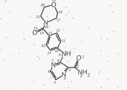 NC(=O)c1nccnc1Nc1ccc(C(=O)N2CCOCC2)cc1